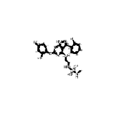 CNS(=O)(=O)NCCNc1nc(Oc2ccc(F)cc2F)nc2[nH]nc(-c3ccccc3I)c12